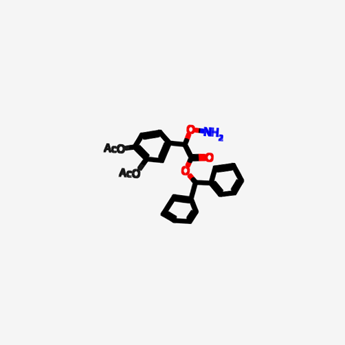 CC(=O)Oc1ccc(C(ON)C(=O)OC(c2ccccc2)c2ccccc2)cc1OC(C)=O